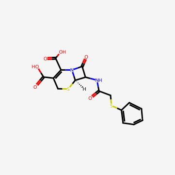 O=C(CSc1ccccc1)NC1C(=O)N2C(C(=O)O)=C(C(=O)O)CS[C@H]12